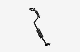 CCCC#CCN=[C:1]